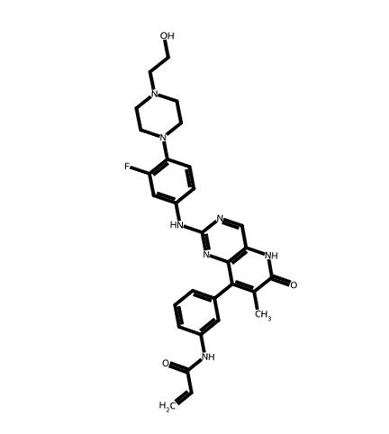 C=CC(=O)Nc1cccc(-c2c(C)c(=O)[nH]c3cnc(Nc4ccc(N5CCN(CCO)CC5)c(F)c4)nc23)c1